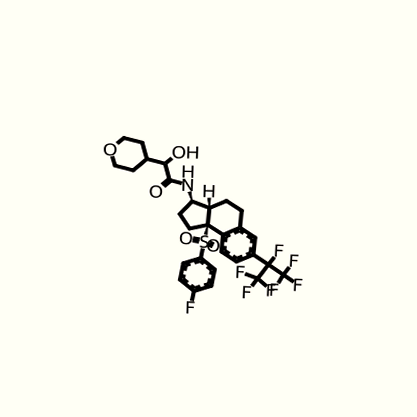 O=C(N[C@@H]1CC[C@@]2(S(=O)(=O)c3ccc(F)cc3)c3ccc(C(F)(C(F)(F)F)C(F)(F)F)cc3CC[C@@H]12)C(O)C1CCOCC1